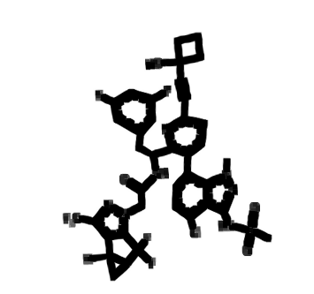 Cn1nc(NS(C)(=O)=O)c2c(Cl)ccc(-c3ccc(C#CC4(O)CCC4)nc3[C@H](Cc3cc(F)cc(F)c3)NC(=O)Cn3nc(C(F)(F)F)c4c3C(F)(F)C3C[C@H]43)c21